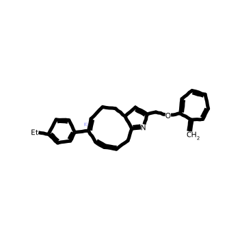 C=C1C=CC=CC=C1OCC1=CC2CC/C=C(/c3ccc(CC)cc3)C=C=CCC2=N1